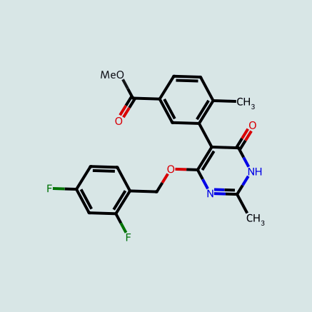 COC(=O)c1ccc(C)c(-c2c(OCc3ccc(F)cc3F)nc(C)[nH]c2=O)c1